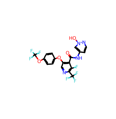 O=C(Nc1ccn[n+](O)c1)c1c(Oc2ccc(OC(F)(F)F)cc2)cnc(C(F)(F)F)c1F